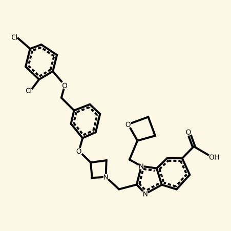 O=C(O)c1ccc2nc(CN3CC(Oc4cccc(COc5ccc(Cl)cc5Cl)c4)C3)n(CC3CCO3)c2c1